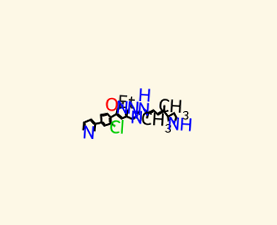 CCn1c(=O)c(-c2ccc(-c3cccnc3)cc2Cl)cc2cnc(N/C(C)=C/C=C(\C)C3CCNC3)nc21